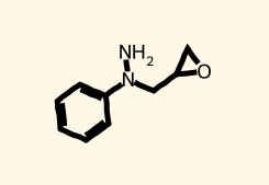 NN(CC1CO1)c1ccccc1